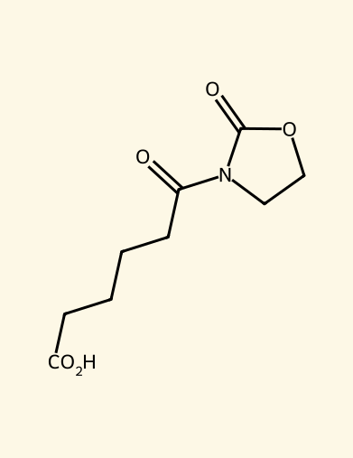 O=C(O)CCCCC(=O)N1CCOC1=O